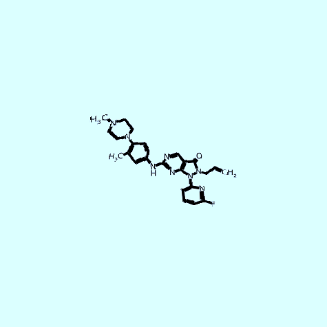 C=CCn1c(=O)c2cnc(Nc3ccc(N4CCN(C)CC4)c(C)c3)nc2n1-c1cccc(F)n1